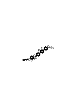 C=CCCCOc1ccc(OC(=O)C2CCC(c3ccc(C4CCC(OCCCC)CC4)c(F)c3F)CC2)c(F)c1F